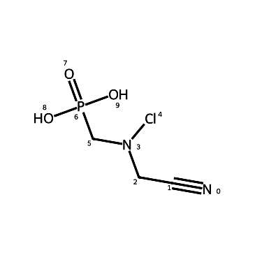 N#CCN(Cl)CP(=O)(O)O